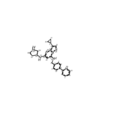 c1ccc(-c2ccc(CNc3cc(NC4CCNC4)nc4c(C5CC5)cnn34)cc2)nc1